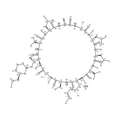 C=C1[C@H](C(C)C)N(C)C(=O)[C@H](CC(C)C)N(C)C(=O)[C@H](CC(C)C)N(C)C(=O)[C@@H](C)NC(=O)[C@H](C)NC(=O)[C@H](CC(C)C)N(C)C(=O)[C@H](C(C)C)NC(=O)[C@H]([C@H](C)CN2CCO[C@H](COC)C2)N(C)C(=O)[C@@H](C)N(C)C(=O)[C@H](CC)NC(=O)[C@H]([C@H](O)[C@H](C)C/C=C/C)N1C